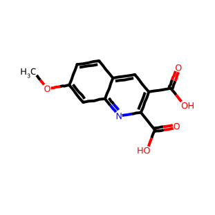 COc1ccc2cc(C(=O)O)c(C(=O)O)nc2c1